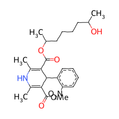 COC(=O)C1=C(C)NC(C)=C(C(=O)OC(C)CCCCC(C)O)C1c1ccccc1[N+](=O)[O-]